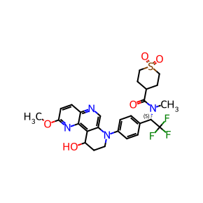 COc1ccc2ncc3c(c2n1)C(O)CCN3c1ccc([C@H](N(C)C(=O)C2CCS(=O)(=O)CC2)C(F)(F)F)cc1